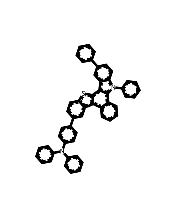 c1ccc(-c2ccc3c(c2)c2c4sc5ccc(-c6ccc(N(c7ccccc7)c7ccccc7)cc6)cc5c4c4ccccc4c2n3-c2ccccc2)cc1